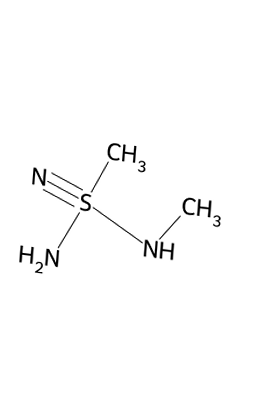 CNS(C)(#N)N